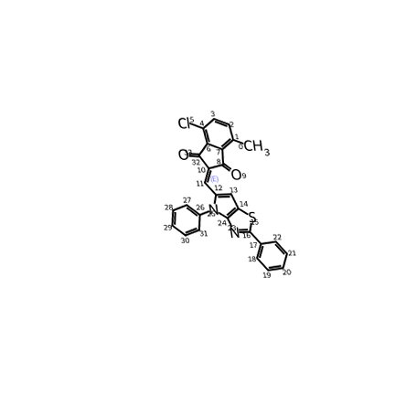 Cc1ccc(Cl)c2c1C(=O)/C(=C\c1cc3sc(-c4ccccc4)nc3n1-c1ccccc1)C2=O